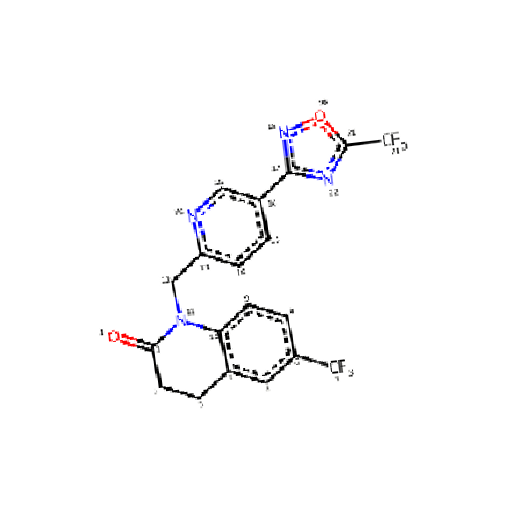 O=C1CCc2cc(C(F)(F)F)ccc2N1Cc1ccc(-c2noc(C(F)(F)F)n2)cn1